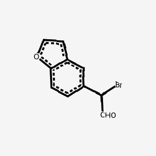 O=CC(Br)c1ccc2occc2c1